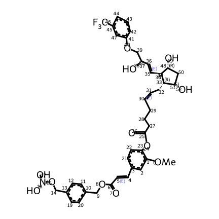 COc1cc(/C=C/C(=O)OCc2ccc(CON(O)O)cc2)ccc1OC(=O)CCC/C=C\C[C@@H]1[C@@H](/C=C/[C@@H](O)COc2cccc(C(F)(F)F)c2)[C@H](O)C[C@@H]1O